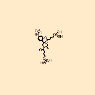 CC(C)N(CC(OC(=O)CCCON(O)O)c1ccc(NS(C)(=O)=O)cc1)C(=O)CCCON(O)O